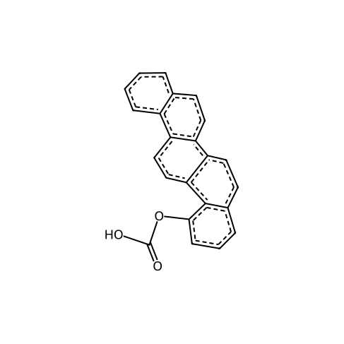 O=C(O)Oc1cccc2ccc3c4ccc5ccccc5c4ccc3c12